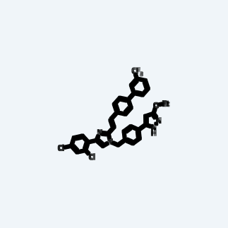 CCOc1cc(-c2ccc(Cn3cc(-c4ccc(Cl)cc4Cl)nc3/C=C/c3ccc(-c4cccc(C(F)(F)F)c4)cc3)cc2)[nH]n1